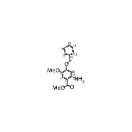 COC(=O)c1cc(OC)c(OCc2ccccc2)cc1N